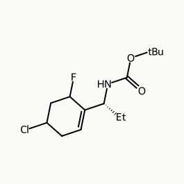 CC[C@@H](NC(=O)OC(C)(C)C)C1=CCC(Cl)CC1F